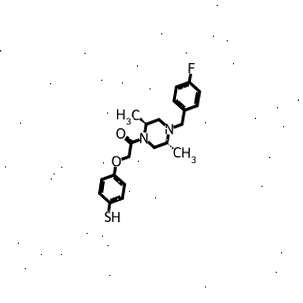 C[C@@H]1CN(C(=O)COc2ccc(S)cc2)[C@@H](C)CN1Cc1ccc(F)cc1